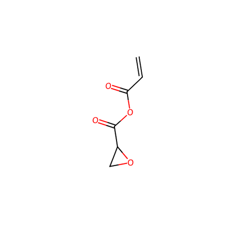 C=CC(=O)OC(=O)C1CO1